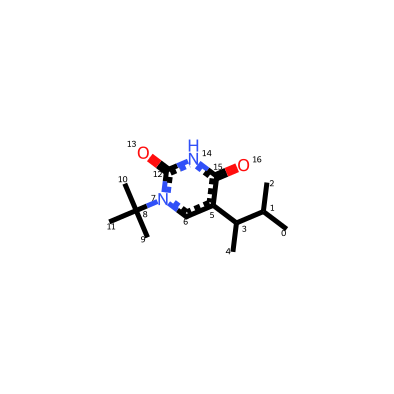 CC(C)C(C)c1cn(C(C)(C)C)c(=O)[nH]c1=O